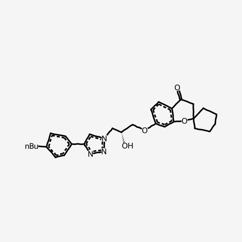 CCCCc1ccc(-c2cn(C[C@@H](O)COc3ccc4c(c3)OC3(CCCCC3)CC4=O)nn2)cc1